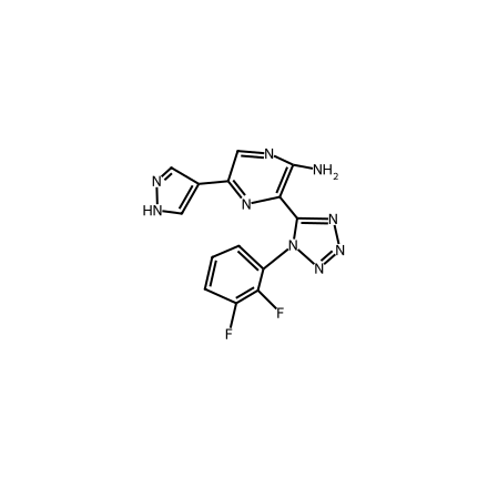 Nc1ncc(-c2cn[nH]c2)nc1-c1nnnn1-c1cccc(F)c1F